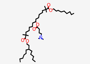 CCCCCCCCCOC(=O)C(C)(C)CCCCCC(CCCCCC(C)(C)C(=O)OCCC(CCCCC)CCCCCC)OC(=O)CCCN(C)C